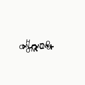 Cc1nc(C(=O)NC2COC2)ccc1N1CCN(C(=O)OC(C)(C)C)CC1